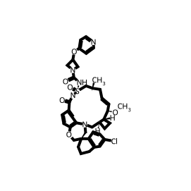 CO[C@H]1/C=C/C[C@H](C)C[S@@](=O)(NC(=O)N2CC(Oc3ccncc3)C2)=NC(=O)c2ccc3c(c2)N(C[C@@H]2CC[C@H]21)C[C@@]1(CCCc2cc(Cl)ccc21)CO3